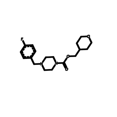 O=C(OCC1CCOCC1)N1CCN(Cc2ccc(F)cc2)CC1